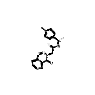 Cc1ccc([C@H](C)NC(=O)Cn2nnc3ccccc3c2=O)cc1